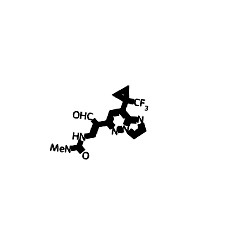 CNC(=O)N/C=C(\C=O)c1cc(C2(C(F)(F)F)CC2)c2nccn2n1